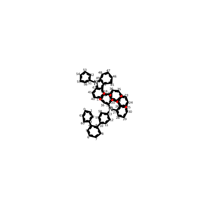 c1ccc(-c2ccccc2-c2ccc(N(c3ccccc3-c3ccccc3)c3ccccc3-c3cccc(-c4cccc5c4c4ccccc4n5-c4ccccc4)c3)cc2)cc1